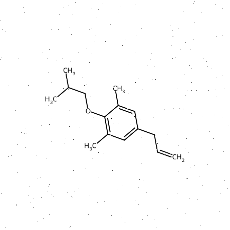 C=CCc1cc(C)c(OC[C](C)C)c(C)c1